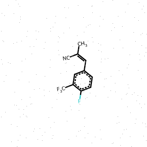 C/C(C#N)=C/c1ccc(F)c(C(F)(F)F)c1